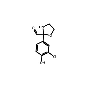 O=CC1(c2ccc(O)c(Cl)c2)NCCO1